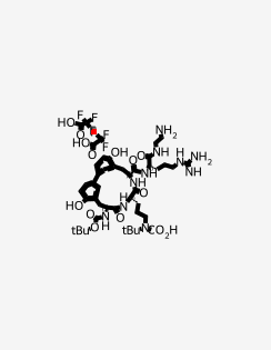 CC(C)(C)OC(=O)N[C@H]1Cc2cc(ccc2O)-c2ccc(O)c(c2)C[C@@H](C(=O)N[C@@H](CCCNC(=N)N)C(=O)NCCN)NC(=O)[C@H](CCCN(C(=O)O)C(C)(C)C)NC1=O.O=C(O)C(F)(F)F.O=C(O)C(F)(F)F